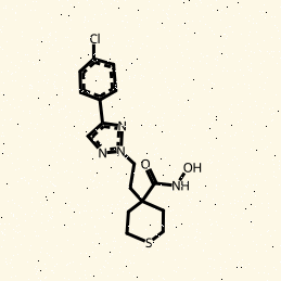 O=C(NO)C1(CCn2ncc(-c3ccc(Cl)cc3)n2)CCSCC1